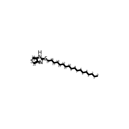 CCCCCCCCCCCCCCCCCCSc1nc2cscc2[nH]1